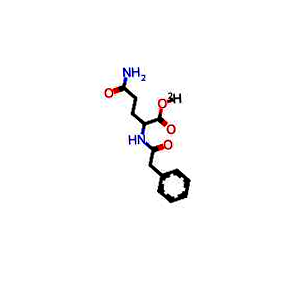 [2H]OC(=O)C(CCC(N)=O)NC(=O)Cc1ccccc1